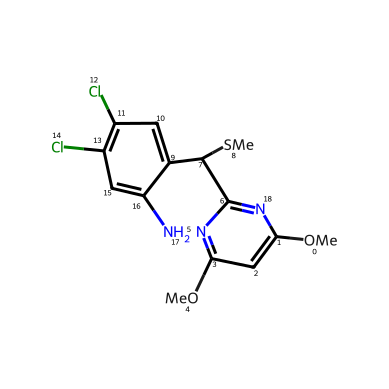 COc1cc(OC)nc(C(SC)c2cc(Cl)c(Cl)cc2N)n1